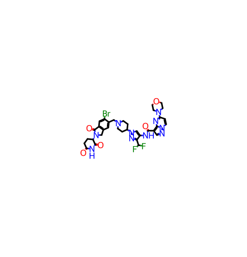 O=C1CCC(N2Cc3cc(CN4CCC(n5cc(NC(=O)c6cnn7ccc(N8CCOCC8)nc67)c(C(F)F)n5)CC4)c(Br)cc3C2=O)C(=O)N1